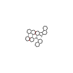 c1ccc(-c2cccc3cccc(-c4ccccc4N(c4cccc5ccccc45)c4cccc5c4sc4ccc6ccccc6c45)c23)cc1